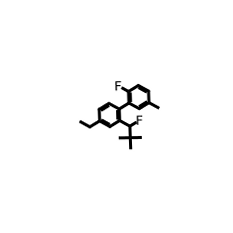 CCc1ccc(-c2cc(C)ccc2F)c(C(F)C(C)(C)C)c1